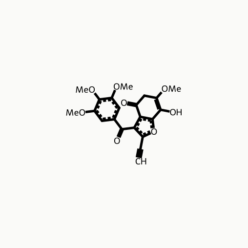 C#Cc1oc2c(c1C(=O)c1cc(OC)c(OC)c(OC)c1)C(=O)CC(OC)=C2O